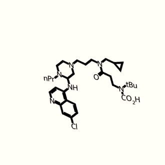 CCCN1CCN(CCCN(CC2CC2)C(=O)CCN(C(=O)O)C(C)(C)C)CC1Nc1ccnc2cc(Cl)ccc12